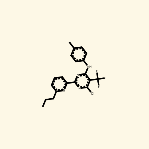 CCCc1cccc(-c2nc(Cl)c(C(F)(F)F)c(Nc3ccc(C)cc3)n2)n1